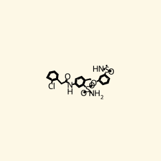 CS(=N)(=O)c1cccc(OCc2ccc(NC(=O)Cc3ccccc3Cl)cc2S(N)(=O)=O)c1